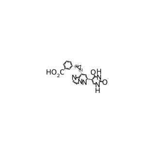 O=C(O)c1cccc([C@@H]2C[C@@H]2c2cc(-c3c[nH]c(=O)[nH]c3=O)nn3ccnc23)c1